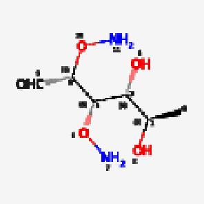 C[C@@H](O)[C@@H](O)[C@H](ON)[C@H](C=O)ON